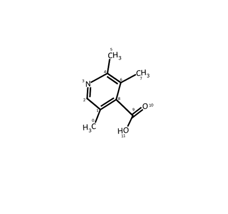 Cc1cnc(C)c(C)c1C(=O)O